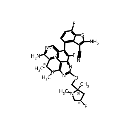 C[C@H](c1nccnc1N)N(C)c1nc(OC[C@]2(C)C[C@@H](F)CN2C)nc2c(F)c(-c3ccc(F)c4sc(N)c(C#N)c34)c(Cl)cc12